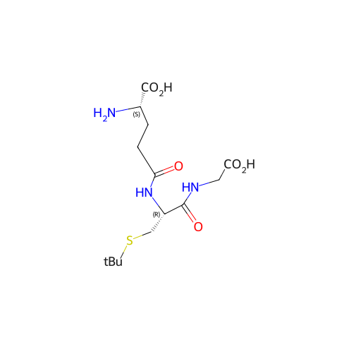 CC(C)(C)SC[C@H](NC(=O)CC[C@H](N)C(=O)O)C(=O)NCC(=O)O